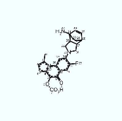 Cc1csc2c(OC(=O)O)c(=O)c3cc(F)c(N4CC5C6C=CC(N)(CC6)C5C4)cc3n12